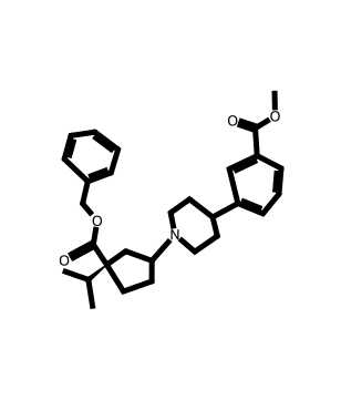 COC(=O)c1cccc(C2CCN(C3CC[C@@](C(=O)OCc4ccccc4)(C(C)C)C3)CC2)c1